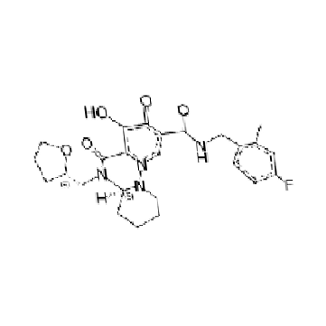 Cc1cc(F)ccc1CNC(=O)c1cn2c(c(O)c1=O)C(=O)N(C[C@@H]1CCCO1)[C@@H]1CCCCN12